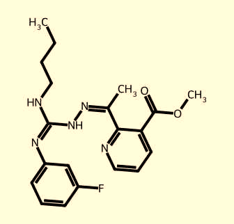 CCCCNC(=Nc1cccc(F)c1)NN=C(C)c1ncccc1C(=O)OC